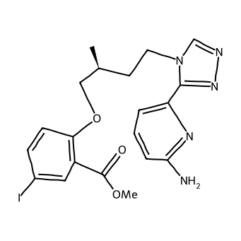 COC(=O)c1cc(I)ccc1OC[C@@H](C)CCn1cnnc1-c1cccc(N)n1